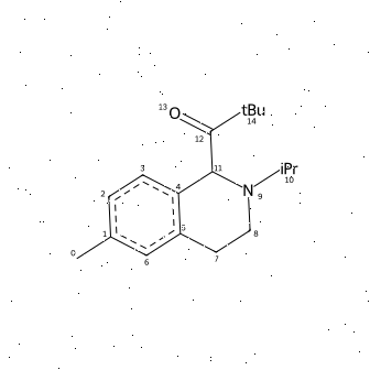 Cc1ccc2c(c1)CCN(C(C)C)C2C(=O)C(C)(C)C